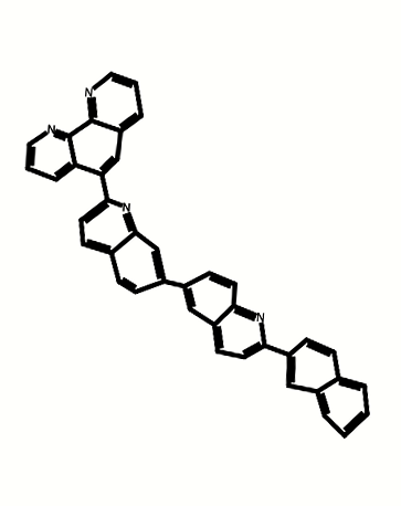 c1ccc2cc(-c3ccc4cc(-c5ccc6ccc(-c7cc8cccnc8c8ncccc78)nc6c5)ccc4n3)ccc2c1